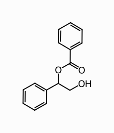 O=C(OC(CO)c1ccccc1)c1ccccc1